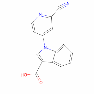 N#Cc1cc(-n2cc(C(=O)O)c3ccccc32)ccn1